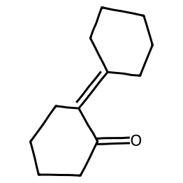 O=C1CCCCC1=C1CCCCC1